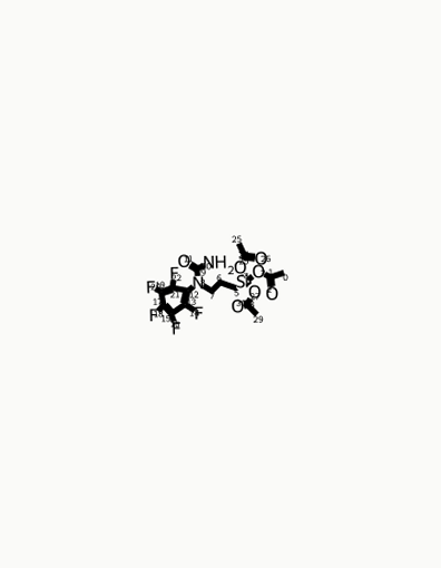 CC(=O)O[Si](CCCN(C(N)=O)c1c(F)c(F)c(F)c(F)c1F)(OC(C)=O)OC(C)=O